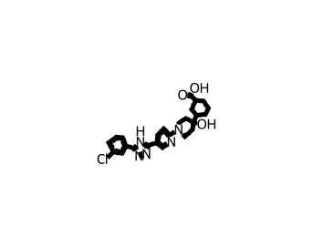 O=C(O)C1CCCC(C2(O)CCN(c3ccc(-c4nnc(-c5cccc(Cl)c5)[nH]4)cn3)CC2)C1